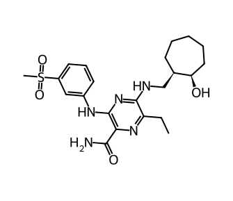 CCc1nc(C(N)=O)c(Nc2cccc(S(C)(=O)=O)c2)nc1NC[C@H]1CCCCC[C@H]1O